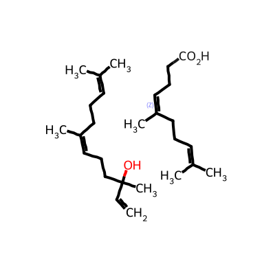 C=CC(C)(O)CCC=C(C)CCC=C(C)C.CC(C)=CCC/C(C)=C\CCC(=O)O